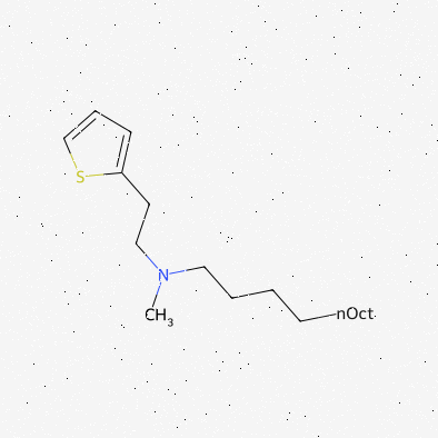 CCCCCCCCCCCCN(C)CCc1cccs1